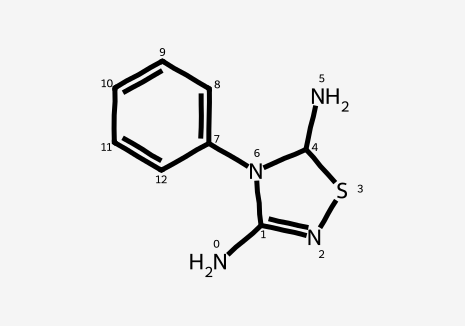 NC1=NSC(N)N1c1ccccc1